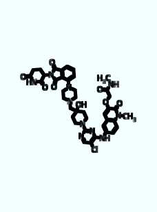 CNC(=O)COc1cc2cc(Nc3nc(N4CCC(O)(CN5CCN(c6cccc7c6C(=O)N(C6CCC(=O)NC6=O)C7=O)CC5)CC4)ncc3Cl)ccc2n(C)c1=O